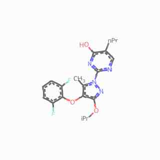 CCCc1cnc(-n2nc(OC(C)C)c(Oc3c(F)cccc3F)c2C)nc1O